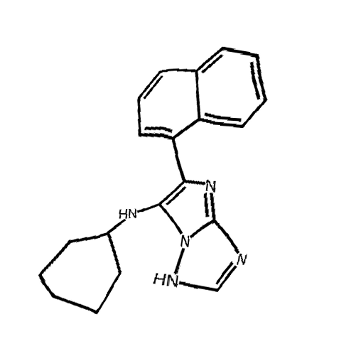 c1ccc2c(-c3nc4nc[nH]n4c3NC3CCCCC3)cccc2c1